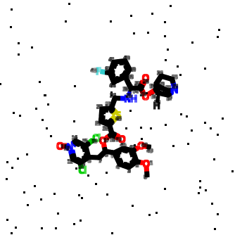 COc1ccc(C(Cc2c(Cl)c[n+]([O-])cc2Cl)OC(=O)c2ccc(CN[C@H](C(=O)O[C@H]3CN4CCC3CC4)c3cccc(F)c3)s2)cc1OC